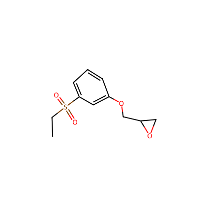 CCS(=O)(=O)c1cccc(OCC2CO2)c1